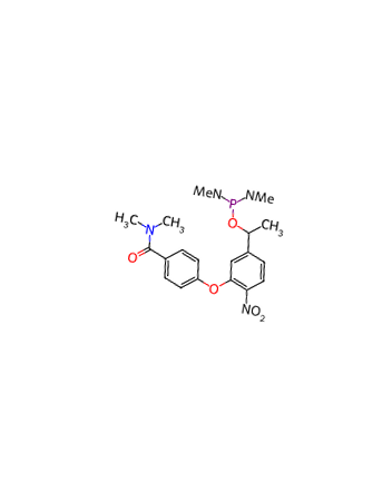 CNP(NC)OC(C)c1ccc([N+](=O)[O-])c(Oc2ccc(C(=O)N(C)C)cc2)c1